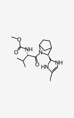 COC(=O)N[C@H](C(=O)N1C2CCC(C2)[C@H]1C1NC=C(I)N1)C(C)C